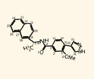 COc1cc(C(=O)N[C@H](C)c2ccc3ccccc3c2)ccc1-c1cn[nH]c1